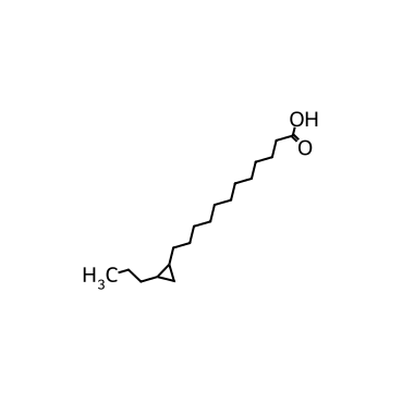 CCCC1CC1CCCCCCCCCCCC(=O)O